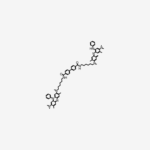 C=C1C=C(N(C)CCCCCCNC(=O)c2ccc(-c3ccc(C(=O)NCCCCCCN(C)c4cc5c(cc4C)nc4cc(C)c(N(C)C)cc4[n+]5-c4ccccc4)cc3)cc2)C(C)=C/C1=N/c1cc(C)c(N(C)C)cc1Nc1ccccc1